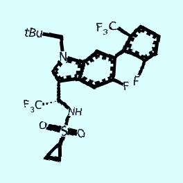 CC(C)(C)Cn1cc([C@H](NS(=O)(=O)C2CC2)C(F)(F)F)c2cc(F)c(-c3c(F)cccc3C(F)(F)F)cc21